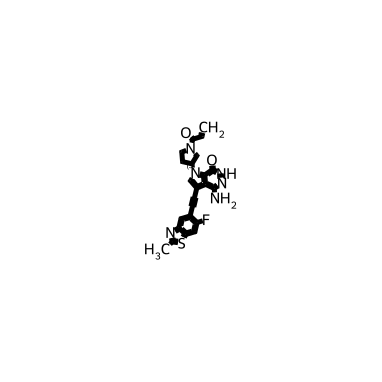 C=CC(=O)N1CC[C@H](n2cc(C#Cc3cc4nc(C)sc4cc3F)c3c(N)n[nH]c(=O)c32)C1